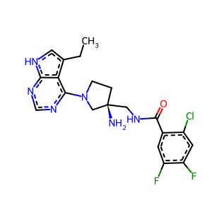 CCc1c[nH]c2ncnc(N3CC[C@](N)(CNC(=O)c4cc(F)c(F)cc4Cl)C3)c12